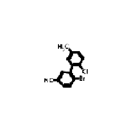 Cc1ccc(Cl)c(-c2cc(C#N)c[c]c2Br)c1